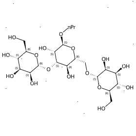 CCCO[C@H]1O[C@H](CO[C@H]2O[C@H](CO)[C@@H](O)[C@H](O)[C@@H]2O)[C@@H](O)[C@H](O[C@H]2O[C@H](CO)[C@@H](O)[C@H](O)[C@@H]2O)[C@@H]1O